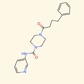 O=C(CCCc1ccccc1)N1CCN(C(=O)Nc2cccnc2)CC1